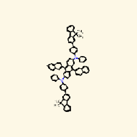 CC1(C)c2ccccc2-c2ccc(-c3ccc(N(c4ccccc4)c4ccc5c(-c6ccc7ccccc7c6)c6cc(N(c7ccccc7)c7ccc(-c8ccc9c(c8)C(C)(C)c8ccccc8-9)cc7)ccc6c(-c6ccc7ccccc7c6)c5c4)cc3)cc21